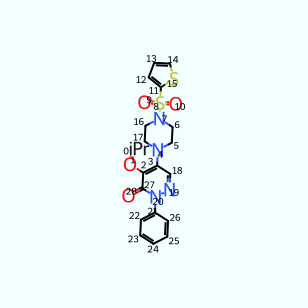 CC(C)Oc1c(N2CCN(S(=O)(=O)c3cccs3)CC2)cnn(-c2ccccc2)c1=O